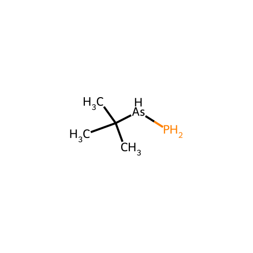 CC(C)(C)[AsH]P